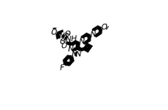 COC1CCN(C2CCN(c3cc(C(=O)NS(=O)(=O)N4CC(OC)C4)nc4c3c(C3CCC3)nn4-c3ccc(F)cc3)CC2)CC1